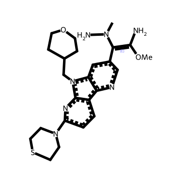 CO/C(N)=C(\c1cnc2c3ccc(N4CCSCC4)nc3n(CC3CCOCC3)c2c1)N(C)N